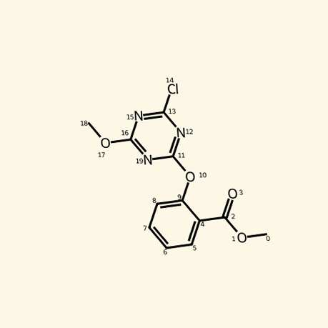 COC(=O)c1ccccc1Oc1nc(Cl)nc(OC)n1